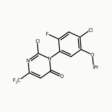 CC(C)Oc1cc(-n2c(Cl)nc(C(F)(F)F)cc2=O)c(F)cc1Cl